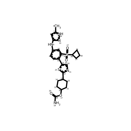 Cc1cc(Nc2ccc(-c3cnc(C4CCC(OC(N)=O)CC4)s3)c(S(=O)(=O)C3CCC3)c2)n[nH]1